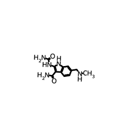 CNCc1ccc2c(C(N)=O)c(NC(N)=O)[nH]c2c1